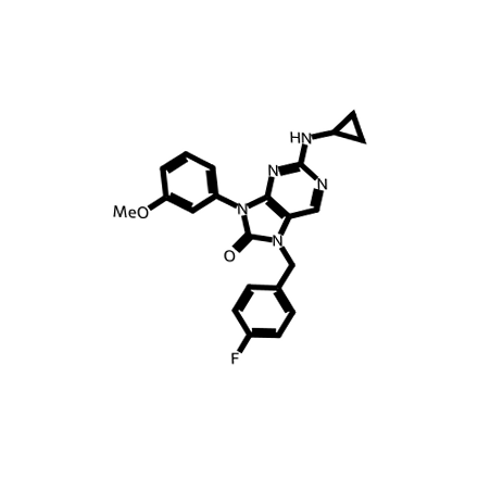 COc1cccc(-n2c(=O)n(Cc3ccc(F)cc3)c3cnc(NC4CC4)nc32)c1